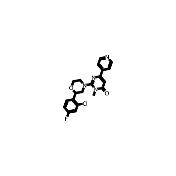 Cn1c(N2CCOC(c3ccc(F)cc3Cl)C2)nc(-c2ccncc2)cc1=O